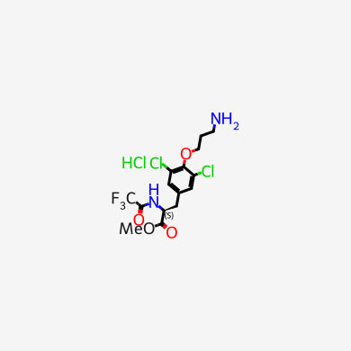 COC(=O)[C@H](Cc1cc(Cl)c(OCCCN)c(Cl)c1)NC(=O)C(F)(F)F.Cl